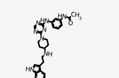 CC(=O)Nc1cccc(Nc2ncnc(N3CCC(NCCc4c[nH]c5ccccc45)CC3)n2)c1